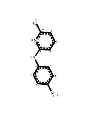 Nc1ccc(Sc2cccc(Cl)n2)cc1